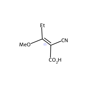 CC/C(OC)=C(\C#N)C(=O)O